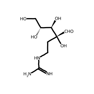 N=C(N)NCC[C@](O)(C=O)[C@H](O)[C@H](O)CO